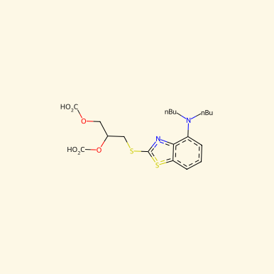 CCCCN(CCCC)c1cccc2sc(SCC(COC(=O)O)OC(=O)O)nc12